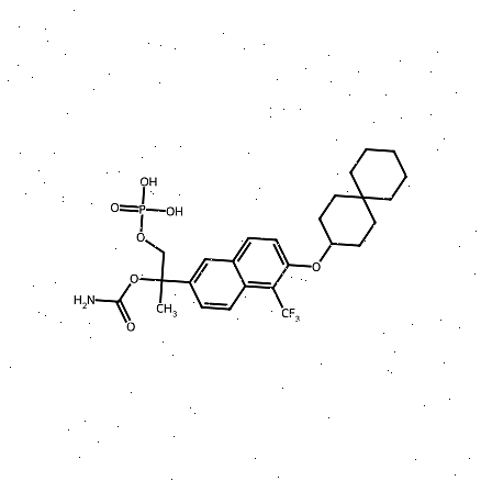 CC(COP(=O)(O)O)(OC(N)=O)c1ccc2c(C(F)(F)F)c(OC3CCC4(CCCCC4)CC3)ccc2c1